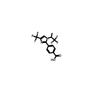 CC(n1cc(C(F)(F)F)nc1-c1ccc(C(=O)O)cc1)C(F)(F)F